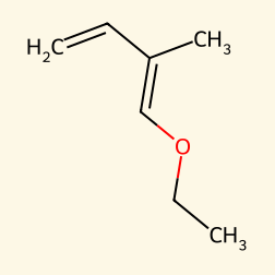 C=CC(C)=COCC